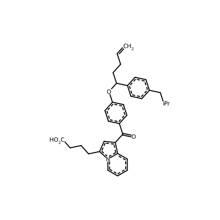 C=CCCC(Oc1ccc(C(=O)c2cc(CCCC(=O)O)n3ccccc23)cc1)c1ccc(CC(C)C)cc1